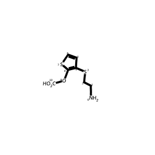 NCCSc1ccsc1OC(=O)O